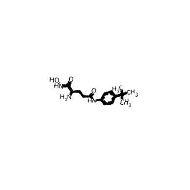 CC(C)(C)c1ccc(NC(=O)CCC(N)C(=O)NO)cc1